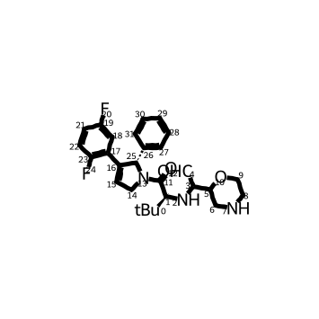 CC(C)(C)[C@H](NC(C=O)C1CNCCO1)C(=O)N1CC=C(c2cc(F)ccc2F)[C@@H]1c1ccccc1